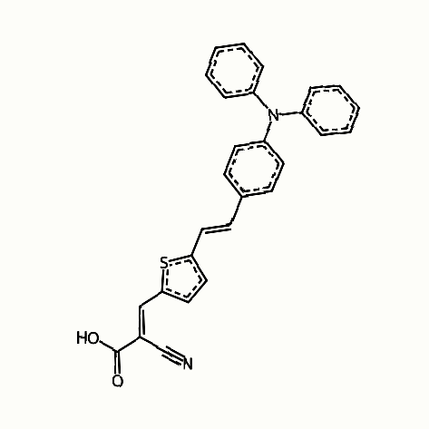 N#C/C(=C\c1ccc(C=Cc2ccc(N(c3ccccc3)c3ccccc3)cc2)s1)C(=O)O